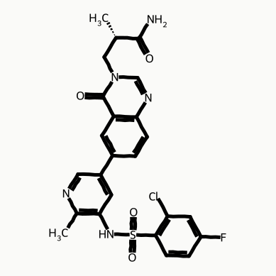 Cc1ncc(-c2ccc3ncn(C[C@H](C)C(N)=O)c(=O)c3c2)cc1NS(=O)(=O)c1ccc(F)cc1Cl